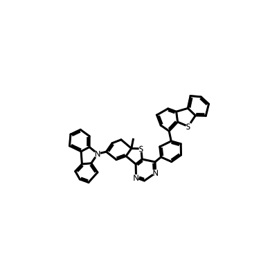 CC12CC=C(n3c4ccccc4c4ccccc43)C=C1c1ncnc(-c3cccc(-c4cccc5c4sc4ccccc45)c3)c1S2